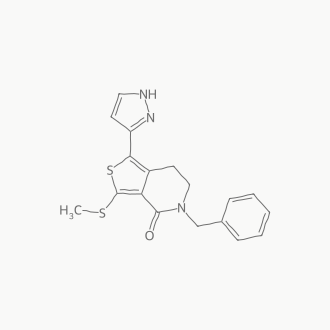 CSc1sc(-c2cc[nH]n2)c2c1C(=O)N(Cc1ccccc1)CC2